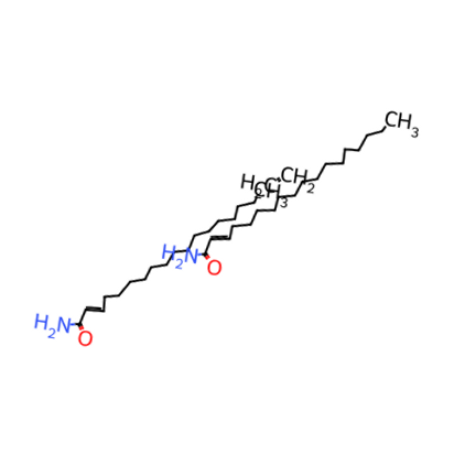 C=C.CCCCCCCCCCCCCCCC=CC(N)=O.CCCCCCCCCCCCCCCC=CC(N)=O